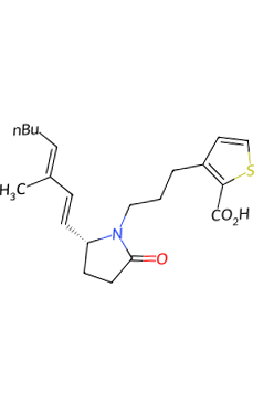 CCCC/C=C(C)/C=C/[C@H]1CCC(=O)N1CCCc1ccsc1C(=O)O